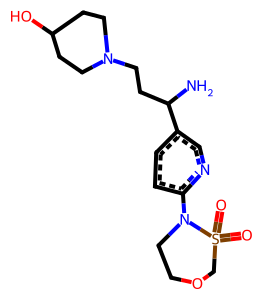 NC(CCN1CCC(O)CC1)c1ccc(N2CCOCS2(=O)=O)nc1